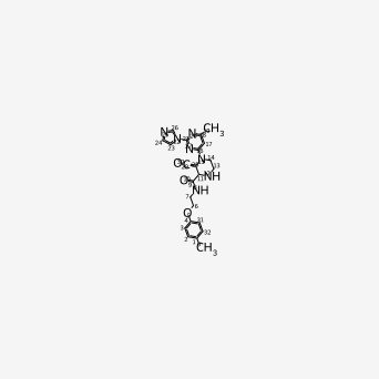 Cc1ccc(OCCNC(=O)C2NCCN(c3cc(C)nc(-n4ccnc4)n3)C2=C=O)cc1